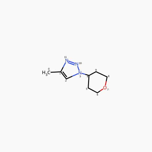 Cc1cn(C2CCOCC2)nn1